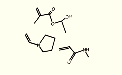 C=C(C)C(=O)OC(C)O.C=CC(=O)NC.C=CN1CCCC1